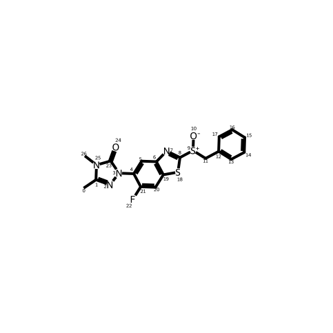 Cc1nn(-c2cc3nc([S+]([O-])Cc4ccccc4)sc3cc2F)c(=O)n1C